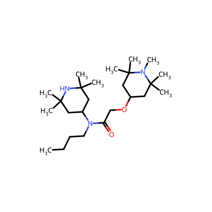 CCCCN(C(=O)COC1CC(C)(C)N(C)C(C)(C)C1)C1CC(C)(C)NC(C)(C)C1